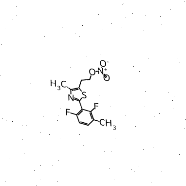 Cc1ccc(F)c(-c2nc(C)c(CCO[N+](=O)[O-])s2)c1F